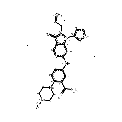 C=CCn1c(=O)c2cnc(Nc3ccc(N4CCN(C)CC4)c(C(N)=O)c3)nc2n1-c1ccsc1